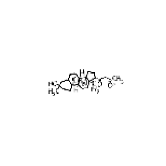 C[S+]([O-])CC(=O)[C@H]1CC[C@H]2[C@@H]3CCC4CC(C)(O)CC[C@]4(C)[C@H]3CC[C@]12C